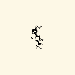 CC[C@@H](C[C@@H](OC(C)=O)c1nc(C(=O)O)cs1)N(C)C(=O)OC(C)(C)C